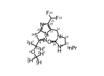 [2H]C([2H])([2H])OC([2H])([2H])c1nn2c(CN3C[C@H](CCC)NC3=O)c(C(F)F)nc2s1